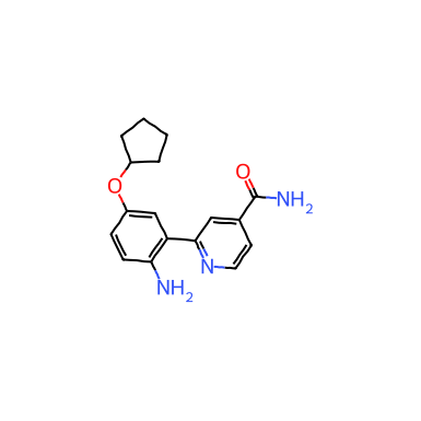 NC(=O)c1ccnc(-c2cc(OC3CCCC3)ccc2N)c1